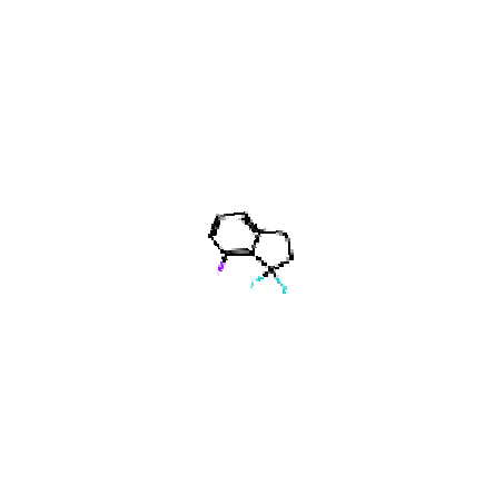 FC1(F)CCc2cccc(I)c21